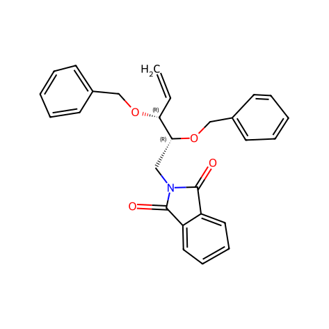 C=C[C@@H](OCc1ccccc1)[C@@H](CN1C(=O)c2ccccc2C1=O)OCc1ccccc1